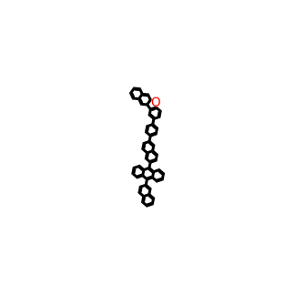 C1=c2ccccc2=CC2c3cc(-c4ccc(-c5ccc6cc(-c7c8ccccc8c(-c8ccc9ccccc9c8)c8ccccc78)ccc6c5)cc4)ccc3OC12